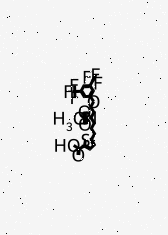 CS(=O)(=O)N(CCCc1ccc(C(=O)O)s1)CCOc1cc(C(F)(F)F)cc(C(F)(F)F)c1